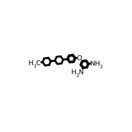 CC1CCC(C2CCC(c3ccc(Oc4cc(N)cc(N)c4)cc3)CC2)CC1